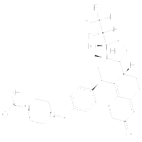 C[C@]12C[C@H](c3ccc(CN4CCN(C(=O)O)CC4)cc3)C3=C4CCC(=O)C=C4CC[C@H]3[C@@H]1CC[C@@]2(O)C(F)(F)C(F)(F)F